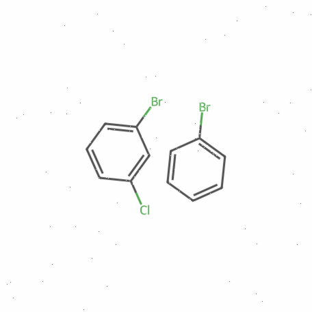 Brc1ccccc1.Clc1cccc(Br)c1